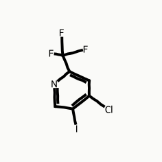 FC(F)(F)c1cc(Cl)c(I)cn1